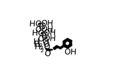 C1CO1.C=CCc1ccccc1O.O.O.O.O=P(O)(O)O.O=P(O)(O)O